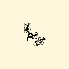 O=C1c2cc(-c3nnc(C(F)F)o3)cc(F)c2CN1C[C@H]1COCCN1S(=O)(=O)C1CC1